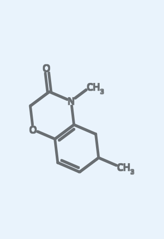 CC1C=CC2=C(C1)N(C)C(=O)CO2